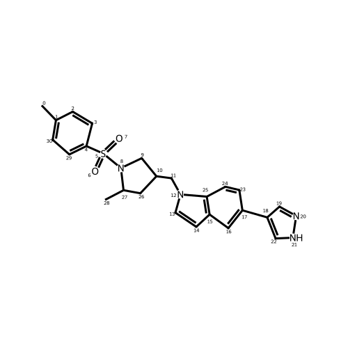 Cc1ccc(S(=O)(=O)N2CC(Cn3ccc4cc(-c5cn[nH]c5)ccc43)CC2C)cc1